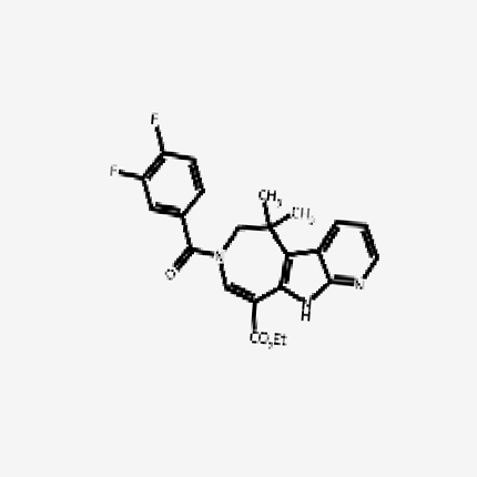 CCOC(=O)C1=CN(C(=O)c2ccc(F)c(F)c2)CC(C)(C)c2c1[nH]c1ncccc21